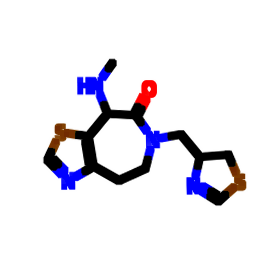 CNC1C(=O)N(CC2CSC=N2)CCc2ncsc21